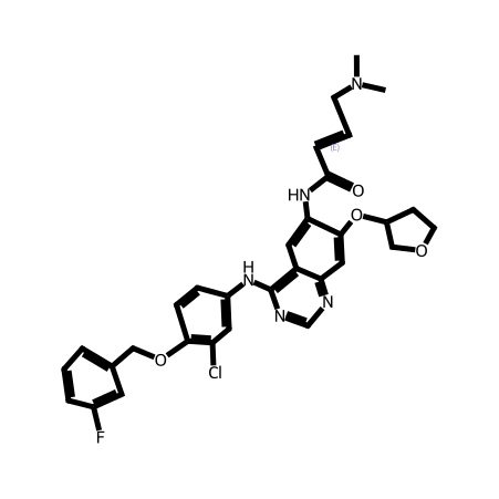 CN(C)C/C=C/C(=O)Nc1cc2c(Nc3ccc(OCc4cccc(F)c4)c(Cl)c3)ncnc2cc1OC1CCOC1